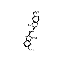 CCn1c(=NN=c2sc3ccc(S(=O)(=O)O)cc3n2CC)sc2ccc(S(=O)(=O)O)cc21